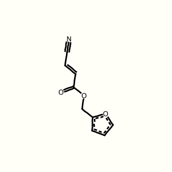 N#CC=CC(=O)OCc1ccco1